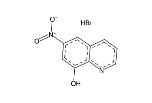 Br.O=[N+]([O-])c1cc(O)c2ncccc2c1